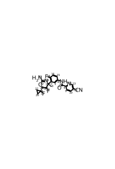 C[C@]1(c2cc(NC(=O)c3ccc(C#N)cn3)ccc2F)N=C(N)O[C@H](C2(F)CC2)[C@@H]1F